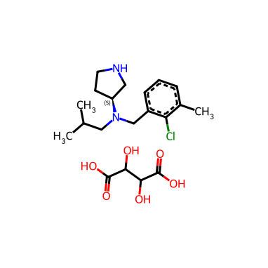 Cc1cccc(CN(CC(C)C)[C@H]2CCNC2)c1Cl.O=C(O)C(O)C(O)C(=O)O